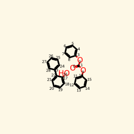 O=C(Oc1ccccc1)Oc1ccccc1.Oc1ccccc1-c1ccccc1